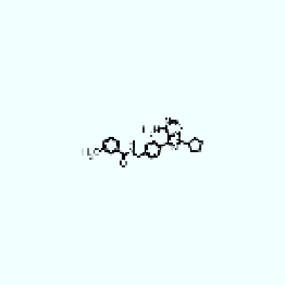 Cc1cccc(C(=O)NCc2ccc(-c3nc(C4CCCC4)n4ncnc(N)c34)cc2)c1